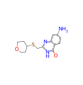 Nc1ccc2c(=O)[nH]c(CSC3CCOCC3)nc2c1